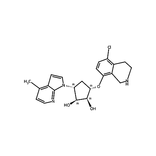 Cc1ccnc2c1ccn2[C@@H]1C[C@H](Oc2ccc(Cl)c3c2CNCC3)[C@@H](O)[C@H]1O